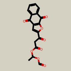 CC(OC=O)OC(=O)CC(=O)c1cc2c(o1)C(=O)c1ccccc1C2=O